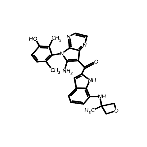 Cc1ccc(O)c(C)c1-n1c(N)c(C(=O)c2cc3cccc(NC4(C)COC4)c3[nH]2)c2nccnc21